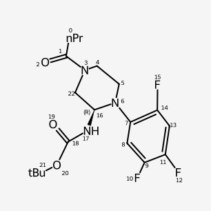 CCCC(=O)N1CCN(c2cc(F)c(F)cc2F)[C@@H](NC(=O)OC(C)(C)C)C1